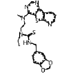 CCN(CCN(C)c1ncnc2c1sc1ncccc12)C(=S)NCc1ccc2c(c1)OCO2